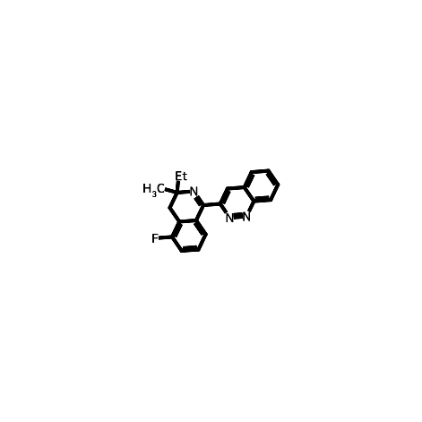 CCC1(C)Cc2c(F)cccc2C(c2cc3ccccc3nn2)=N1